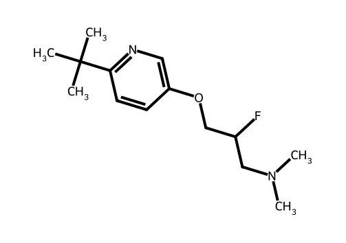 CN(C)CC(F)COc1ccc(C(C)(C)C)nc1